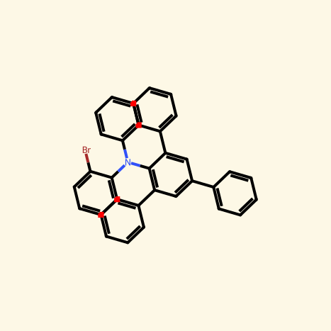 Brc1ccccc1N(c1ccccc1)c1c(-c2ccccc2)cc(-c2ccccc2)cc1-c1ccccc1